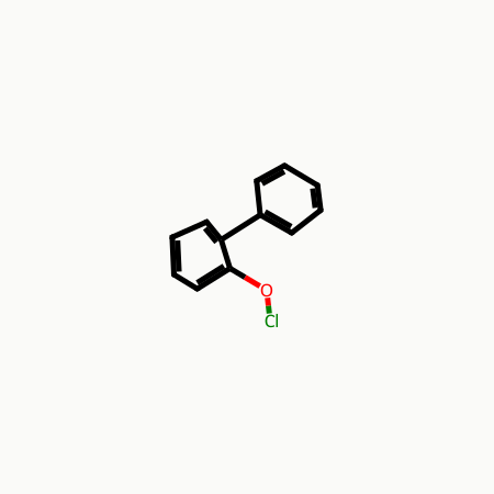 ClOc1ccccc1-c1ccccc1